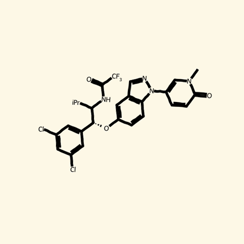 CC(C)C(NC(=O)C(F)(F)F)[C@H](Oc1ccc2c(cnn2-c2ccc(=O)n(C)c2)c1)c1cc(Cl)cc(Cl)c1